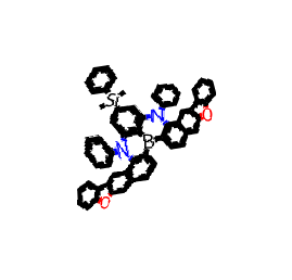 C[Si](C)(c1ccccc1)c1cc2c3c(c1)N(c1ccccc1)c1c(ccc4cc5oc6ccccc6c5cc14)B3c1ccc3cc4oc5ccccc5c4cc3c1N2c1ccccc1